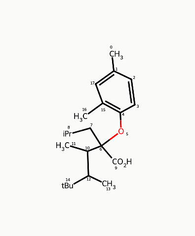 Cc1ccc(OC(CC(C)C)(C(=O)O)C(C)C(C)C(C)(C)C)c(C)c1